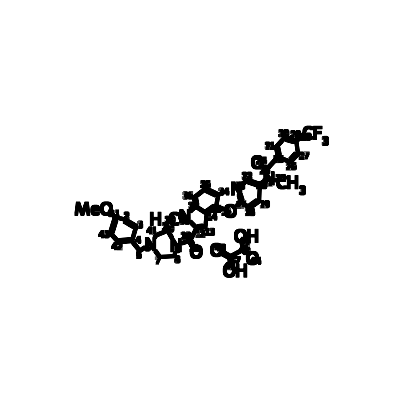 COc1ccc(CN2CCN(C(=O)c3cc4c(Oc5ccc(N(C)C(=O)c6ccc(C(F)(F)F)cc6)cn5)cccc4n3C)CC2)cc1.O=C(O)C(=O)O